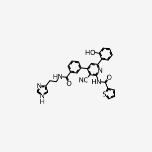 N#Cc1c(-c2cccc(C(=O)NCCc3c[nH]cn3)c2)cc(-c2ccccc2O)nc1NC(=O)c1cccs1